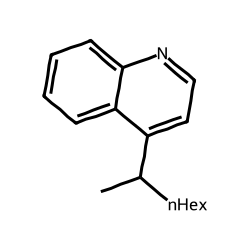 CCCCCCC(C)c1ccnc2ccccc12